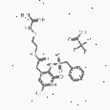 Cc1cc(CC(=O)NCCONC(=N)N)c(NS(=O)(=O)Cc2ccccc2)c(=O)[nH]1.O=C(O)C(F)(F)F